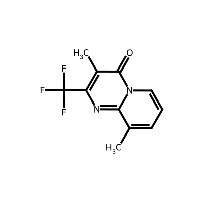 Cc1c(C(F)(F)F)nc2c(C)cccn2c1=O